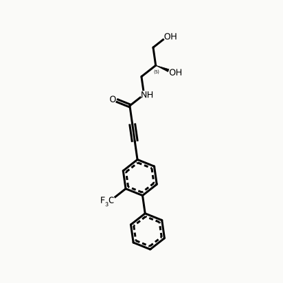 O=C(C#Cc1ccc(-c2ccccc2)c(C(F)(F)F)c1)NC[C@H](O)CO